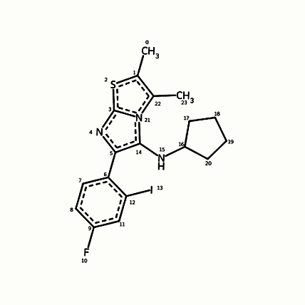 Cc1sc2nc(-c3ccc(F)cc3I)c(NC3CCCC3)n2c1C